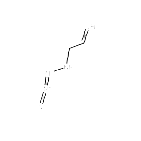 C=CCN[N+]=[N+]=[N-]